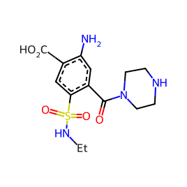 CCNS(=O)(=O)c1cc(C(=O)O)c(N)cc1C(=O)N1CCNCC1